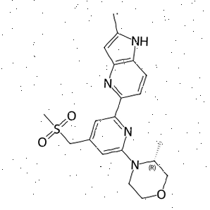 [CH2]c1cc2nc(-c3cc(CS(C)(=O)=O)cc(N4CCOC[C@H]4C)n3)ccc2[nH]1